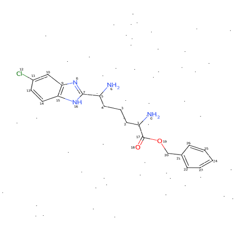 NC(CCCC(N)c1nc2cc(Cl)ccc2[nH]1)C(=O)OCc1ccccc1